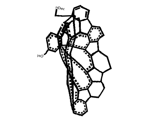 CCCCCCCCCCCC1N(c2ccc(O)cc2)CC23C4=CC=C5c6ccc7c8c6c(c6c9c8c8c%10c%11c%12c%13c%14c%15c(ccc4c%15c2c-6c%14c%119)C%13CCC%12C%10CCC78)C513